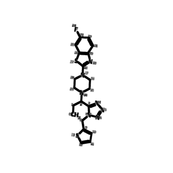 CCC(c1nnnn1Cc1cccs1)N1CCN(c2nc3ccc(F)cc3s2)CC1